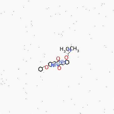 CN(C)CCCOc1cccc(C=c2[nH]c(=O)c(=Cc3ccc(OCc4ccccc4)cn3)[nH]c2=O)c1